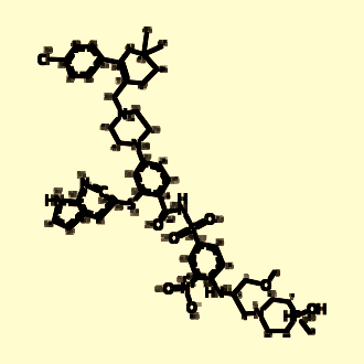 COCC(CN1CC[PH](C)(O)CC1)Nc1ccc(S(=O)(=O)NC(=O)c2ccc(N3CCN(CC4=C(c5ccc(Cl)cc5)CC(C)(C)CC4)CC3)cc2Sc2cnc3[nH]ccc3c2)cc1[N+](=O)[O-]